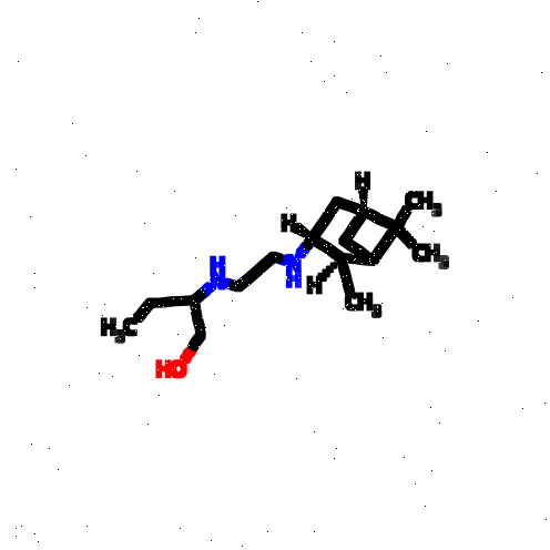 CCC(CO)NCCN[C@@H]1C[C@@H]2CC([C@H]1C)C2(C)C